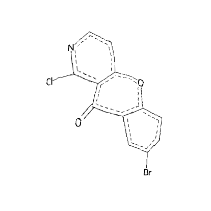 O=c1c2cc(Br)ccc2oc2ccnc(Cl)c12